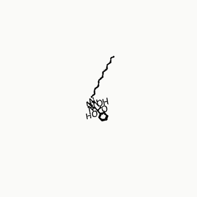 CCCCCCCCCCCCn1nnc(C(O)(C(=O)O)c2ccccc2)n1